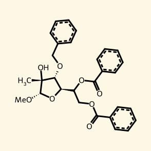 CO[C@H]1O[C@H](C(COC(=O)c2ccccc2)OC(=O)c2ccccc2)[C@@H](OCc2ccccc2)[C@@]1(C)O